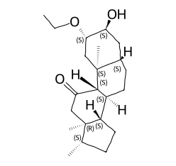 CCO[C@H]1C[C@@]2(C)[C@@H](CC[C@H]3[C@@H]4CC[C@H](C)[C@@]4(C)CC(=O)[C@@H]32)C[C@@H]1O